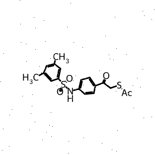 CC(=O)SCC(=O)c1ccc(NS(=O)(=O)c2cc(C)cc(C)c2)cc1